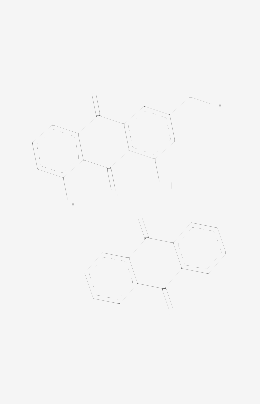 O=C1c2cccc(O)c2C(=O)c2c(O)cc(CO)cc21.O=C1c2ccccc2C(=O)c2ccccc21